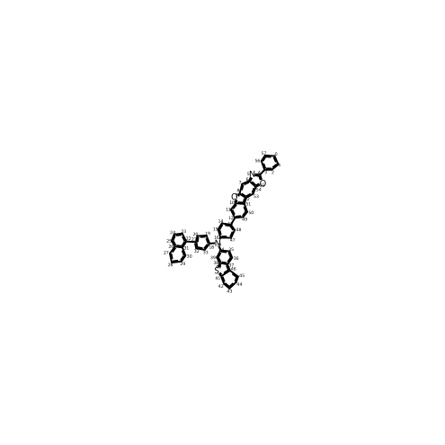 c1ccc(-c2nc3cc4oc5cc(-c6ccc(N(c7ccc(-c8cccc9ccccc89)cc7)c7ccc8c(c7)sc7ccccc78)cc6)ccc5c4cc3o2)cc1